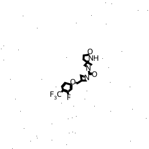 O=C1CCC2(CN(C(=O)N3CC(COc4ccc(C(F)(F)F)c(F)c4)C3)C2)N1